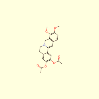 COc1ccc2c(c1OC)CN1CCc3cc(OC(C)=O)c(OC(C)=O)cc3C1=C2